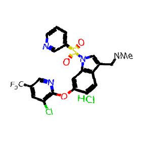 CNCc1cn(S(=O)(=O)c2cccnc2)c2cc(Oc3ncc(C(F)(F)F)cc3Cl)ccc12.Cl